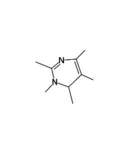 CC1=NC(C)=C(C)C(C)N1C